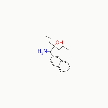 CCCC(O)(CCC)C(N)c1ccc2ccccc2c1